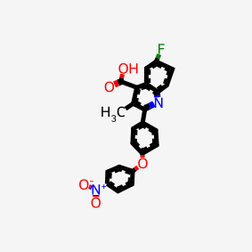 Cc1c(-c2ccc(Oc3ccc([N+](=O)[O-])cc3)cc2)nc2ccc(F)cc2c1C(=O)O